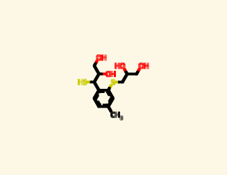 Cc1ccc(C(S)C(O)CO)c(SCC(O)CO)c1